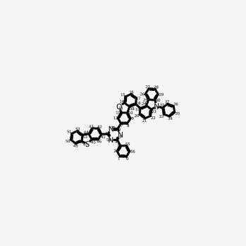 c1ccc(-c2nc(-c3ccc4c(c3)oc3cccc(-c5cccc6c5c5ccccc5n6-c5ccccc5)c34)nc(-c3ccc4c(c3)sc3ccccc34)n2)cc1